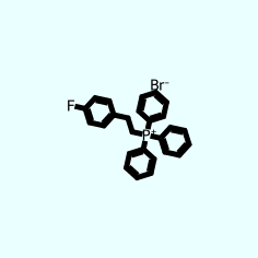 Fc1ccc(CC[P+](c2ccccc2)(c2ccccc2)c2ccccc2)cc1.[Br-]